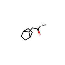 COC(=O)CC1C2CCC1CC2